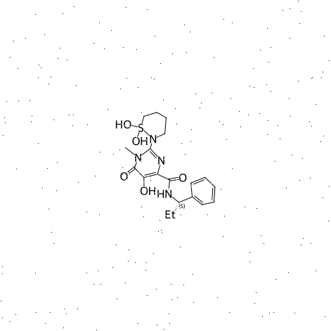 CC[C@H](NC(=O)c1nc(N2CCCCS2(O)O)n(C)c(=O)c1O)c1ccccc1